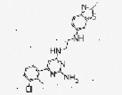 Cc1nc2ccc(NCCNc3cc(-c4cccc(Cl)c4C)nc(N)n3)cc2s1